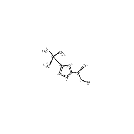 CC(C)(C)c1cnc(C(=O)CS)o1